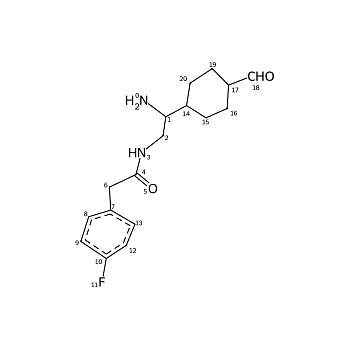 NC(CNC(=O)Cc1ccc(F)cc1)C1CCC(C=O)CC1